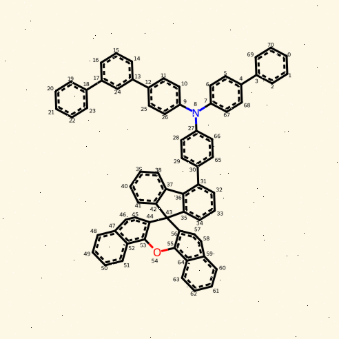 c1ccc(-c2ccc(N(c3ccc(-c4cccc(-c5ccccc5)c4)cc3)c3ccc(-c4cccc5c4-c4ccccc4C54c5ccc6ccccc6c5Oc5c4ccc4ccccc54)cc3)cc2)cc1